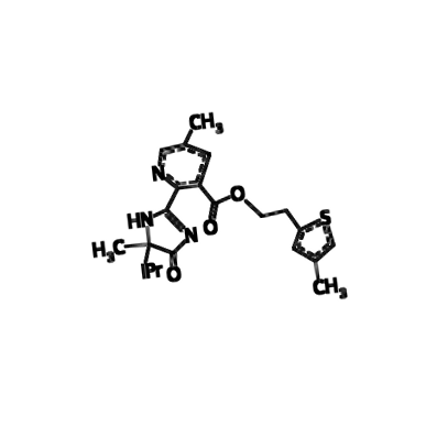 Cc1csc(CCOC(=O)c2cc(C)cnc2C2=NC(=O)C(C)(C(C)C)N2)c1